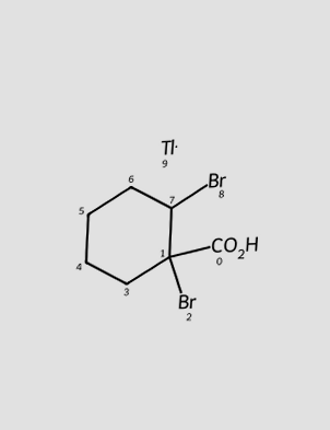 O=C(O)C1(Br)CCCCC1Br.[Tl]